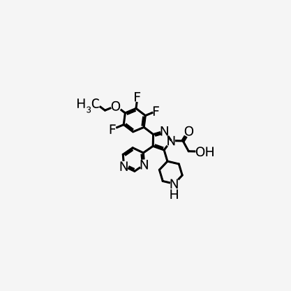 CCOc1c(F)cc(-c2nn(C(=O)CO)c(C3CCNCC3)c2-c2ccncn2)c(F)c1F